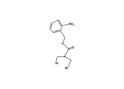 CC(C)CN(CC(C)C)C(=O)OCc1ccccc1[N+](=O)[O-]